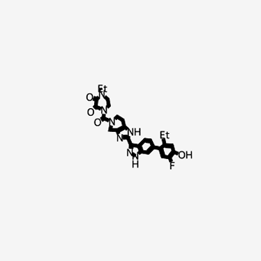 CCc1cc(O)c(F)cc1-c1ccc2c(-c3nc4c([nH]3)CCN(C(=O)N3CCN(CC)C(=O)C3=O)C4)n[nH]c2c1